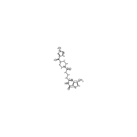 CCn1cc(C(=O)C2CCN(C(=O)CCCc3nc4c(C)csc4c(=O)[nH]3)CC2)cn1